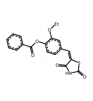 CCOc1cc(C=C2SC(=O)NC2=O)ccc1OC(=O)c1ccccc1